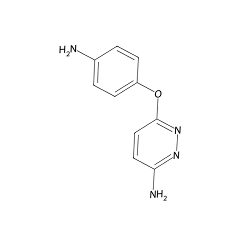 Nc1ccc(Oc2ccc(N)nn2)cc1